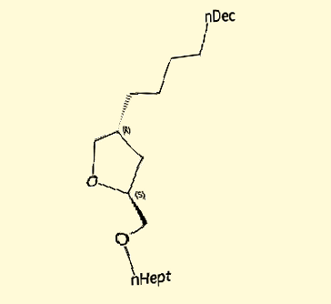 [CH2]CCCCCCOC[C@@H]1C[C@@H](CCCCCCCCCCCCCC)CO1